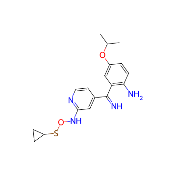 CC(C)Oc1ccc(N)c(C(=N)c2ccnc(NOSC3CC3)c2)c1